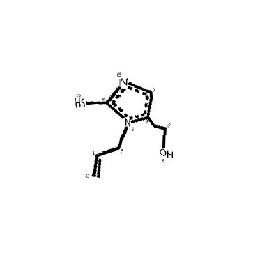 C=CCn1c(CO)cnc1S